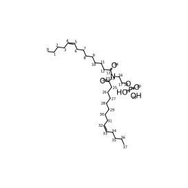 CCCC/C=C\CCCCCCCC(=O)N(CCOP(=O)(O)O)C(=O)CCCCCCC/C=C\CCCC